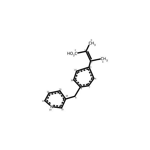 C/C(C(=O)O)=C(\C)c1ccc(Cc2cccnc2)cc1